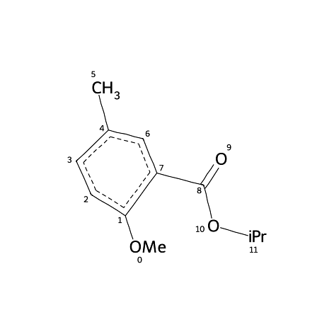 COc1ccc(C)cc1C(=O)OC(C)C